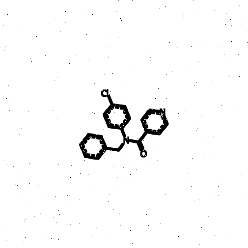 O=C(c1ccncc1)N(Cc1ccccc1)c1ccc(Cl)cc1